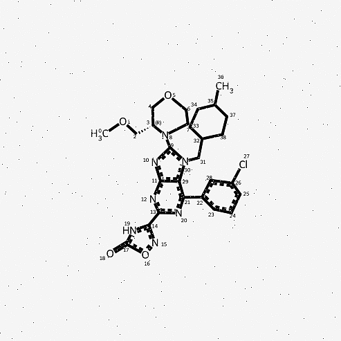 COC[C@@H]1COCCN1c1nc2nc(-c3noc(=O)[nH]3)nc(-c3cccc(Cl)c3)c2n1CC1CCC(C)CC1